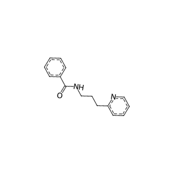 O=C(NCCCc1ccccn1)c1ccccc1